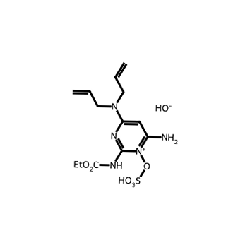 C=CCN(CC=C)c1cc(N)[n+](OS(=O)(=O)O)c(NC(=O)OCC)n1.[OH-]